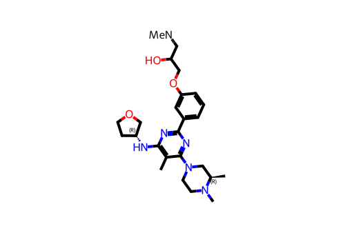 CNCC(O)COc1cccc(-c2nc(N[C@@H]3CCOC3)c(C)c(N3CCN(C)[C@H](C)C3)n2)c1